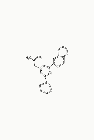 C=C(C)Cc1cc(-c2ccc3ccccc3c2)nc(-c2ccccc2)n1